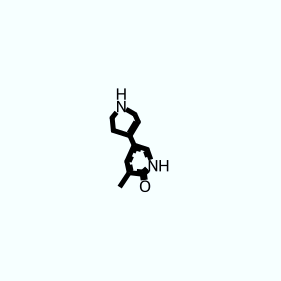 Cc1cc(C2=CCNCC2)c[nH]c1=O